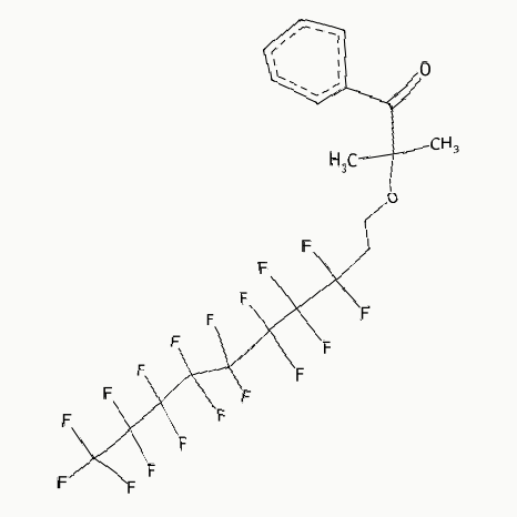 CC(C)(OCCC(F)(F)C(F)(F)C(F)(F)C(F)(F)C(F)(F)C(F)(F)C(F)(F)C(F)(F)F)C(=O)c1ccccc1